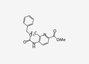 COC(=O)c1ccc(NC(=O)OCc2ccccc2)c(C(F)(F)F)n1